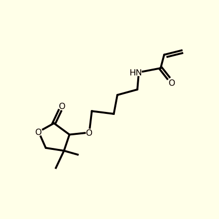 C=CC(=O)NCCCCOC1C(=O)OCC1(C)C